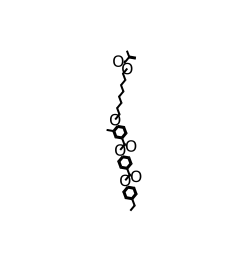 C=C(C)C(=O)OCCCCCCCCOc1ccc(C(=O)Oc2ccc(C(=O)Oc3ccc(CC)cc3)cc2)cc1C